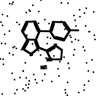 Cc1ccc(-c2cccc3coc(C4=NCCN4)c23)cc1.Cl